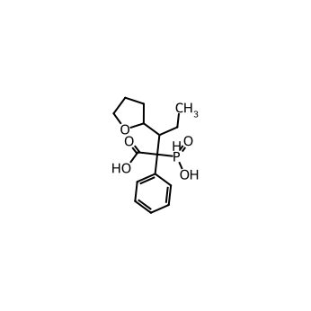 CCC(C1CCCO1)C(C(=O)O)(c1ccccc1)[PH](=O)O